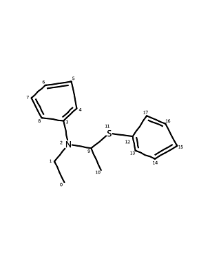 CCN(c1ccccc1)C(C)Sc1ccccc1